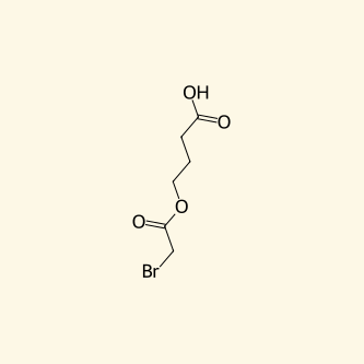 O=C(O)CCCOC(=O)CBr